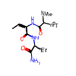 C/C=C(/NC(=O)C(CCC)NC)C(=O)NC(CC)C(N)=O